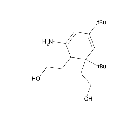 CC(C)(C)C1=CC(CCO)(C(C)(C)C)C(CCO)C(N)=C1